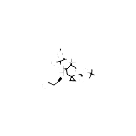 CO[C@@]1(C)O[C@@H]2[C@@H](C#CCC=O)C3(CC3)N(C(=O)OC(C)(C)C)C[C@H]2O[C@]1(C)OC